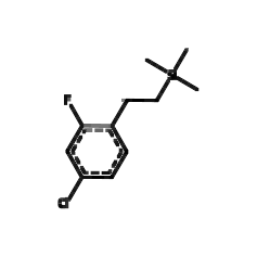 C[Si](C)(C)C[CH]c1ccc(Cl)cc1F